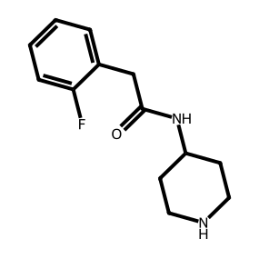 O=C(Cc1ccccc1F)NC1CCNCC1